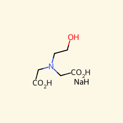 O=C(O)CN(CCO)CC(=O)O.[NaH]